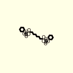 O=C(CCCCCCC(=O)OS(=O)(=O)OC1CCCCC1)OS(=O)(=O)OC1CCCCC1